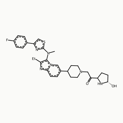 CCc1nc2ccc(C3CCN(CC(=O)C4CC[C@H](O)N4)CC3)cn2c1N(C)c1nc(-c2ccc(F)cc2)cs1